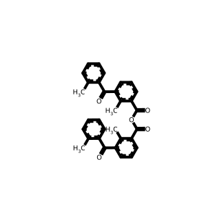 Cc1ccccc1C(=O)c1cccc(C(=O)OC(=O)c2cccc(C(=O)c3ccccc3C)c2C)c1C